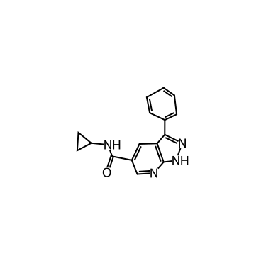 O=C(NC1CC1)c1cnc2[nH]nc(-c3ccccc3)c2c1